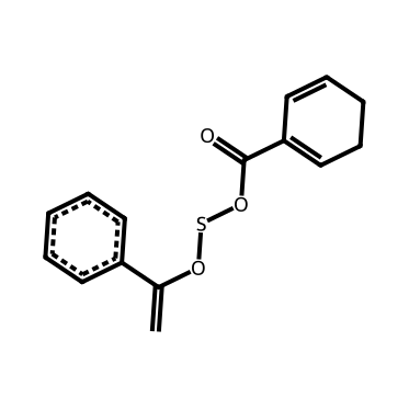 C=C(OSOC(=O)C1=CCCC=C1)c1ccccc1